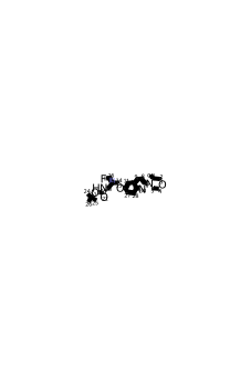 CC1COCCN1c1ccc2cc(OC/C(=C/F)CNC(=O)OC(C)(C)C)ccc2n1